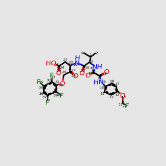 CC(C)C(NC(=O)C(=O)Nc1ccc(OCF)cc1)C(=O)NC(CC(=O)O)C(=O)COc1c(F)c(F)cc(F)c1F